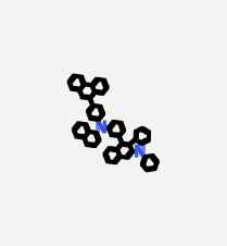 c1ccc(-n2c3ccccc3c3c(-c4cccc(N(c5ccc(-c6cc7ccccc7c7ccccc67)cc5)c5cccc6ccccc56)c4)c4ccccc4cc32)cc1